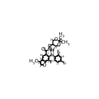 Cc1coc2c(F)c(Nc3ccc(I)cc3F)c(C(=O)NOC3COC(C)(C)OC3)cc12